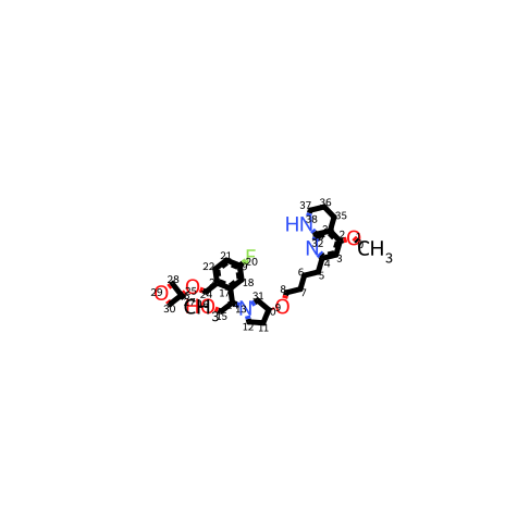 COc1cc(CCCCO[C@@H]2CCN(C(CO)c3cc(F)ccc3COC3(C)COC3)C2)nc2c1CCCN2